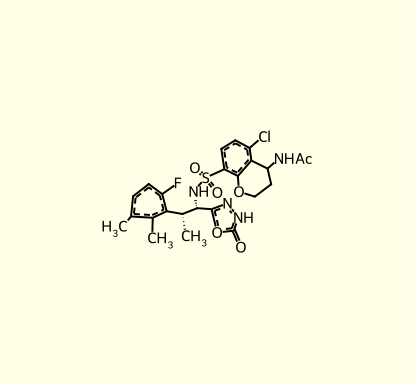 CC(=O)NC1CCOc2c(S(=O)(=O)N[C@H](c3n[nH]c(=O)o3)[C@H](C)c3c(F)ccc(C)c3C)ccc(Cl)c21